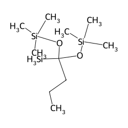 CCCC([SiH3])(O[Si](C)(C)C)O[Si](C)(C)C